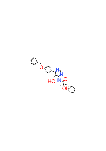 CC(O)(Cc1ccccc1)C(=O)Nc1ncnc(-c2ccc(OCc3ccccc3)cc2)c1CO